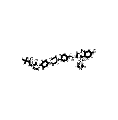 CC(C)(C)C(O)Cn1ncn(-c2ccc(N3CCN(c4ccc(OC[C@@H]5CO[C@@](Cn6cncn6)(c6ccc(F)cc6F)O5)cc4)CC3)cc2)c1=O